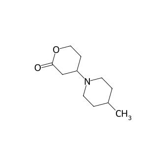 CC1CCN(C2CCOC(=O)C2)CC1